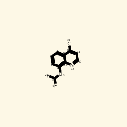 FC(F)Oc1cccc2c(Cl)ccnc12